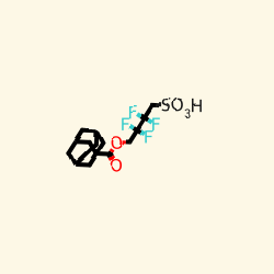 O=C(OCC(F)(F)C(F)(F)CS(=O)(=O)O)C12CC3CC(CC(C3)C1)C2